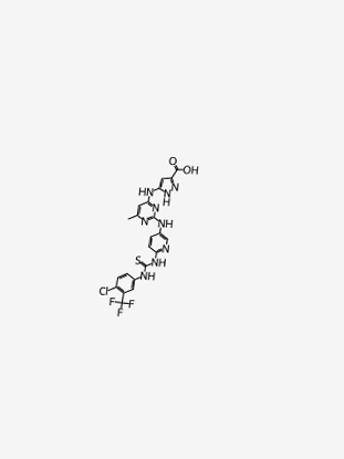 Cc1cc(Nc2cc(C(=O)O)n[nH]2)nc(Nc2ccc(NC(=S)Nc3ccc(Cl)c(C(F)(F)F)c3)nc2)n1